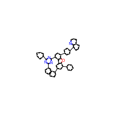 c1ccc(-c2cc(-c3ccccc3)c3oc4c(-c5ccc(-c6cccc7cccnc67)cc5)ccc(-c5nc(-c6ccccc6)nc(-c6ccccc6)n5)c4c3c2)cc1